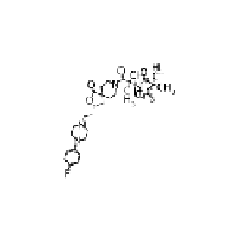 CN(C(=O)C(C)(C)C)C(C)(C)C(=O)N1CCC2(CC1)C[C@H](CCN1CCN(c3ccc(F)cc3)CC1)OC2=O